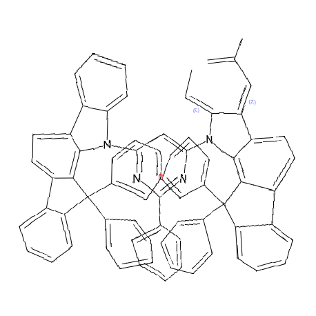 C=C(C)/C=c1\c(=C/C)n(-c2cc(-n3c4ccccc4c4ccc5c(c43)C(c3ccccc3)(c3ccccc3)c3ccccc3-5)nc(-c3ccccc3)n2)c2c3c(ccc12)-c1ccccc1C3(c1ccccc1)c1ccccc1